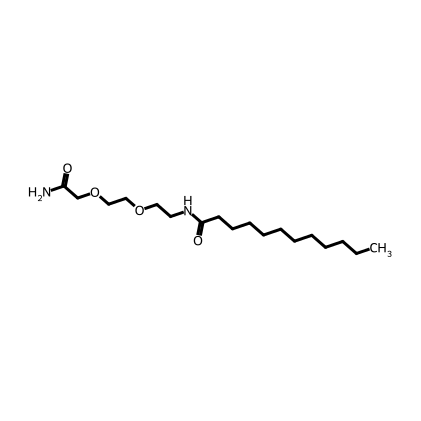 CCCCCCCCCCCC(=O)NCCOCCOCC(N)=O